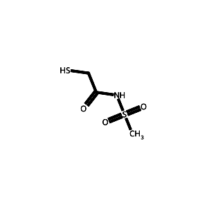 CS(=O)(=O)NC(=O)CS